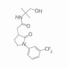 CC(C)(CO)NC(=O)CC1CCN(c2cccc(C(F)(F)F)c2)C1=O